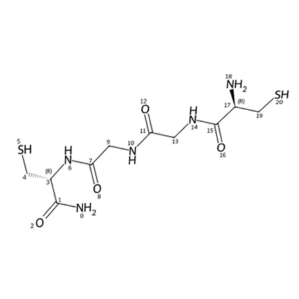 NC(=O)[C@H](CS)NC(=O)CNC(=O)CNC(=O)[C@@H](N)CS